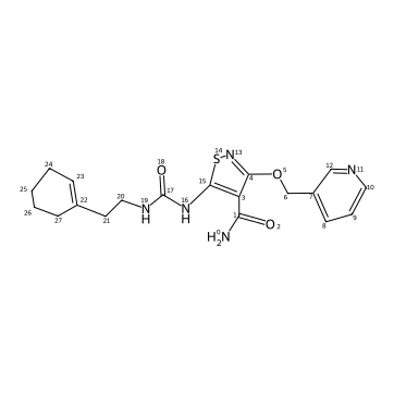 NC(=O)c1c(OCc2cccnc2)nsc1NC(=O)NCCC1=CCCCC1